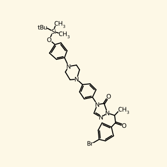 CC(C(=O)c1ccc(Br)cc1)n1ncn(-c2ccc(N3CCN(c4ccc(O[Si](C)(C)C(C)(C)C)cc4)CC3)cc2)c1=O